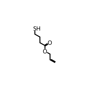 C=CCOC(=O)CCCS